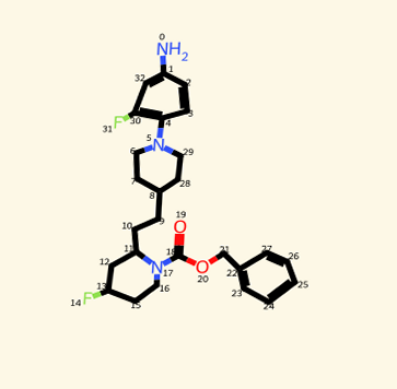 Nc1ccc(N2CCC(CCC3CC(F)CCN3C(=O)OCc3ccccc3)CC2)c(F)c1